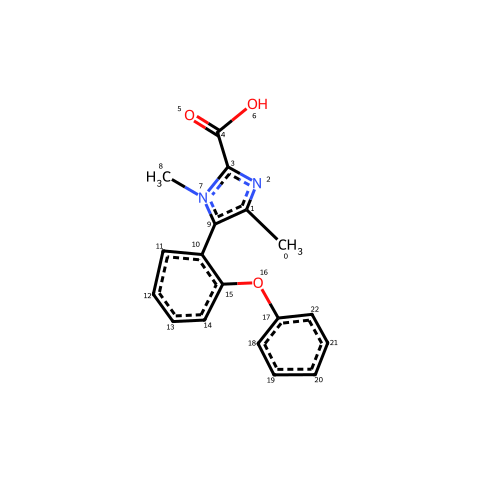 Cc1nc(C(=O)O)n(C)c1-c1ccccc1Oc1ccccc1